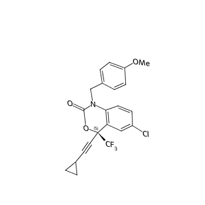 COc1ccc(CN2C(=O)O[C@](C#CC3CC3)(C(F)(F)F)c3cc(Cl)ccc32)cc1